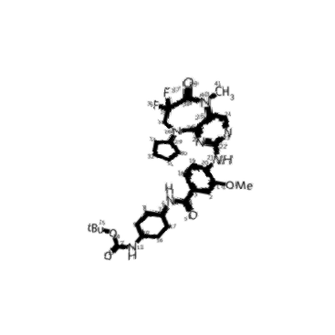 COc1cc(C(=O)NC2CCC(NC(=O)OC(C)(C)C)CC2)ccc1Nc1ncc2c(n1)N(C1CCCC1)CC(F)(F)C(=O)N2C